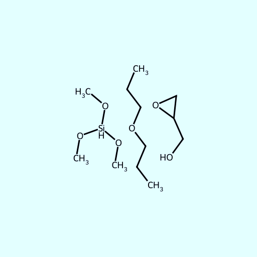 CCCOCCC.CO[SiH](OC)OC.OCC1CO1